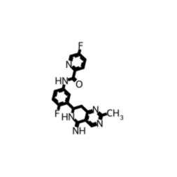 Cc1ncc2c(n1)CC(c1cc(NC(=O)c3ccc(F)cn3)ccc1F)NC2=N